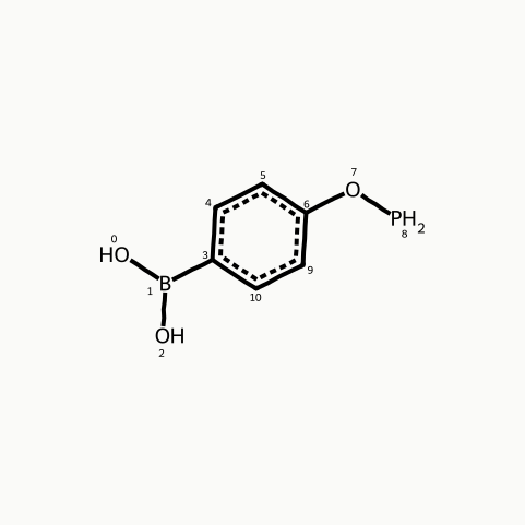 OB(O)c1ccc(OP)cc1